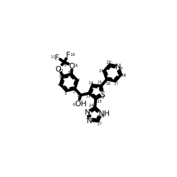 OC(c1ccc2c(c1)OC(F)(F)O2)c1cc(-c2ccncc2)sc1-c1nnc[nH]1